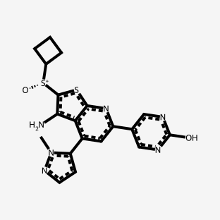 Cn1nccc1-c1cc(-c2cnc(O)nc2)nc2sc([S@+]([O-])C3CCC3)c(N)c12